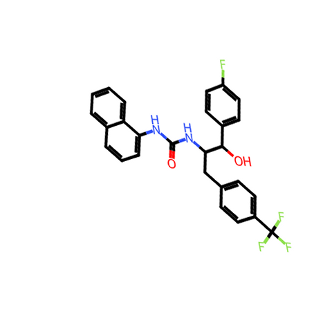 O=C(Nc1cccc2ccccc12)NC(Cc1ccc(C(F)(F)F)cc1)C(O)c1ccc(F)cc1